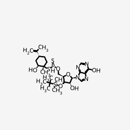 C=C(C)[C@@H]1CC[C@](C)(S[PH](=S)OC[C@H]2O[C@@H](n3cnc4c(O)ncnc43)[C@H](O)C2O[Si](C)(C)C(C)(C)C)[C@@H](O)C1